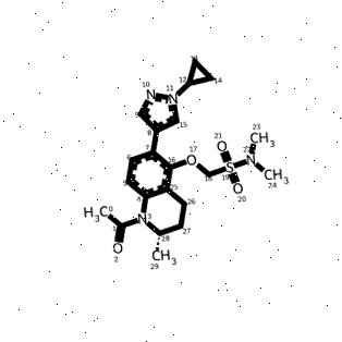 CC(=O)N1c2ccc(-c3cnn(C4CC4)c3)c(OCS(=O)(=O)N(C)C)c2CC[C@@H]1C